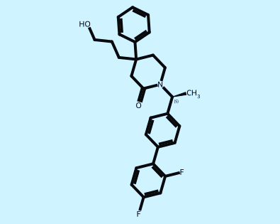 C[C@@H](c1ccc(-c2ccc(F)cc2F)cc1)N1CCC(CCCO)(c2ccccc2)CC1=O